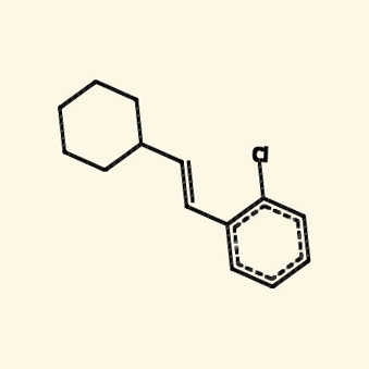 Clc1ccccc1C=CC1CCCCC1